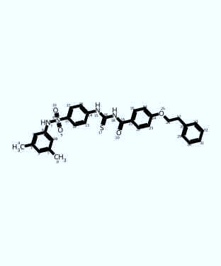 Cc1cc(C)cc(NS(=O)(=O)c2ccc(NC(=S)NC(=O)c3ccc(OCCc4ccccc4)cc3)cc2)c1